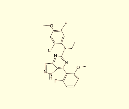 CCN(c1nc(-c2c(F)cccc2OC)c2[nH]ncc2n1)c1cc(F)c(OC)cc1Cl